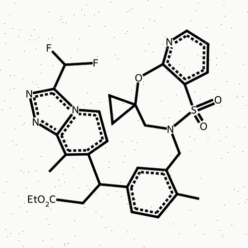 CCOC(=O)CC(c1ccc(C)c(CN2CC3(CC3)Oc3ncccc3S2(=O)=O)c1)c1ccn2c(C(F)F)nnc2c1C